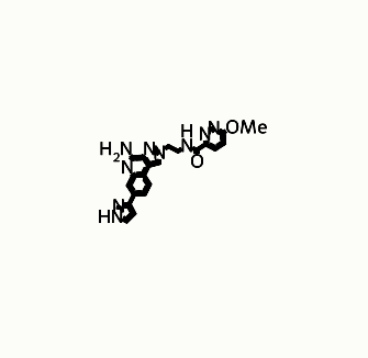 COc1ccc(C(=O)NCCn2cc3c(n2)c(N)nc2cc(-c4cc[nH]n4)ccc23)nn1